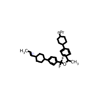 C/C=C/C1CCC(c2ccc(C(F)(F)OC(C)c3ccc(C4CCC(CCC)CC4)cc3)cc2)CC1